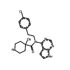 N#CC1(C(=O)N(CCc2ccc(Cl)cc2)c2ncnc3[nH]ccc23)CCNCC1